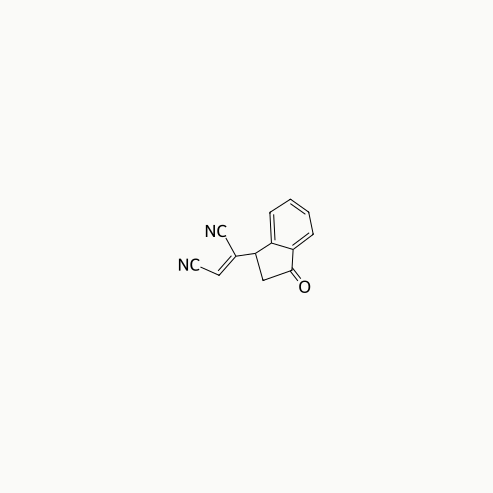 N#C/C=C(\C#N)C1CC(=O)c2ccccc21